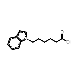 O=C(O)CCCCCn1ccc2ccccc21